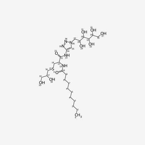 CCCCCCCCCCC(=O)NC(CSCC(O)CO)C(=O)Nc1cn(CC(O)C(O)C(O)C(O)CO)nn1